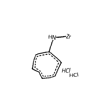 Cl.Cl.[Zr][NH]c1ccccc1